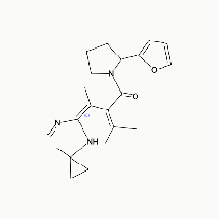 C=N/C(NC1(C)CC1)=C(\C)C(C(=O)N1CCCC1c1ccco1)=C(C)C